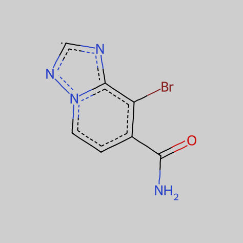 NC(=O)c1ccn2n[c]nc2c1Br